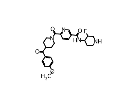 COc1ccc(C(=O)C2CCN(C(=O)c3ccc(C(=O)NC4CCNCC4F)cn3)CC2)cc1